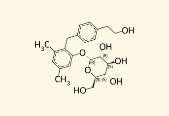 Cc1cc(C)c(Cc2ccc(CCO)cc2)c(O[C@H]2O[C@H](CO)[C@@H](O)[C@H](O)[C@H]2O)c1